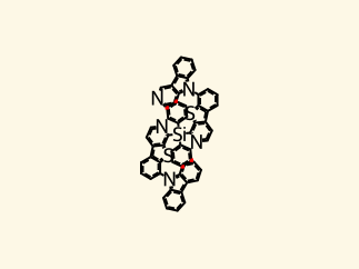 c1ccc([Si](c2ccccc2)(c2nccc3c2sc2c(-n4c5ccccc5c5ccccc54)cccc23)c2nccc3c2sc2c(-n4c5ccccc5c5cnccc54)cccc23)cc1